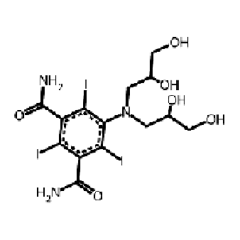 NC(=O)c1c(I)c(C(N)=O)c(I)c(N(CC(O)CO)CC(O)CO)c1I